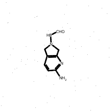 Nc1ccc2c(n1)CN(BC=O)C2